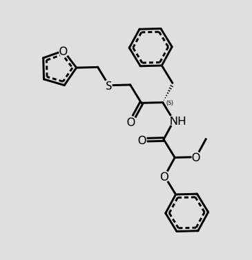 COC(Oc1ccccc1)C(=O)N[C@@H](Cc1ccccc1)C(=O)CSCc1ccco1